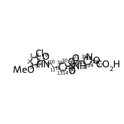 COc1ccc(Cl)c(C(=O)NCCc2ccc(S(=O)(=O)NC(=O)c3ccc(OC(=O)O)nc3)cc2)c1